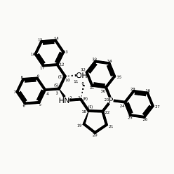 C[C@@H](N[C@@H](c1ccccc1)[C@@H](O)c1ccccc1)[C@@H]1CCCC1P(c1ccccc1)c1ccccc1